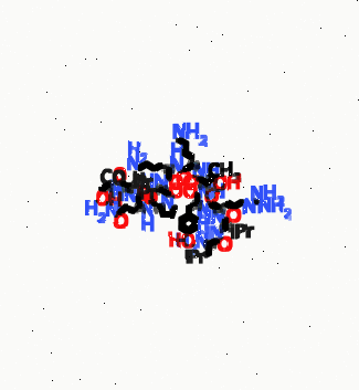 CC(C)C[C@H](N)C(=O)N[C@H](C(=O)N[C@@H](CCCN=C(N)N)C(=O)N[C@@H](Cc1ccc(O)cc1)C(=O)N[C@H](C(=O)N[C@@H](CCCCN)C(=O)N[C@@H](CCCCN)C(=O)N[C@H](C(=O)N1CCC[C@H]1C(=O)N[C@@H](CCC(N)=O)C(=O)N[C@H](C(=O)N[C@@H](CO)C(=O)O)C(C)C)C(C)C)[C@@H](C)O)C(C)C